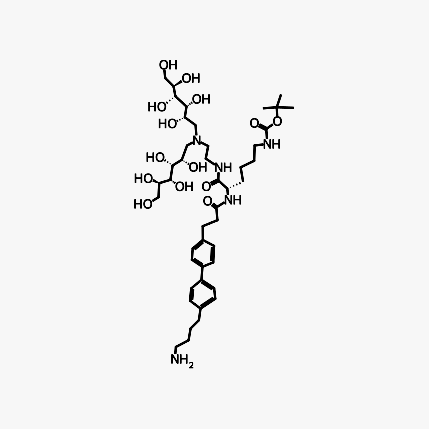 CC(C)(C)OC(=O)NCCCC[C@H](NC(=O)CCc1ccc(-c2ccc(CCCCN)cc2)cc1)C(=O)NCCN(C[C@H](O)[C@@H](O)[C@H](O)[C@H](O)CO)C[C@H](O)[C@@H](O)[C@H](O)[C@H](O)CO